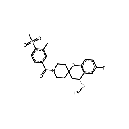 Cc1cc(C(=O)N2CCC3(CC2)C[C@@H](OC(C)C)c2cc(F)ccc2O3)ccc1S(C)(=O)=O